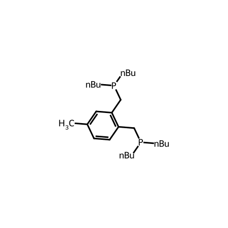 CCCCP(CCCC)Cc1ccc(C)cc1CP(CCCC)CCCC